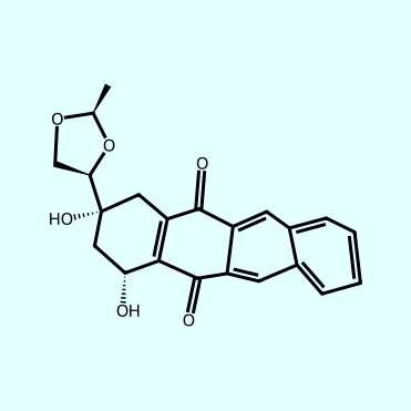 C[C@@H]1OC[C@H]([C@@]2(O)CC3=C(C(=O)c4cc5ccccc5cc4C3=O)[C@H](O)C2)O1